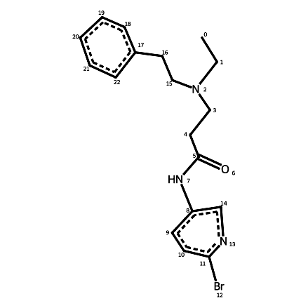 CCN(CCC(=O)Nc1ccc(Br)nc1)CCc1ccccc1